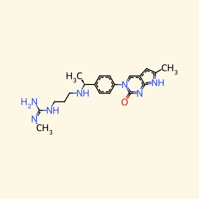 C/N=C(/N)NCCCN[C@@H](C)c1ccc(-n2cc3cc(C)[nH]c3nc2=O)cc1